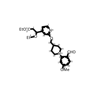 CCOC(=O)CC(OCC)c1ccnc(OCC2CCN(c3cc(OC)ccc3C=O)CC2)c1